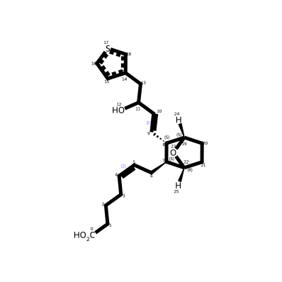 O=C(O)CCC/C=C\C[C@H]1[C@H](/C=C/C(O)Cc2ccsc2)[C@@H]2CC[C@H]1O2